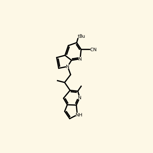 Cc1nc2[nH]ccc2cc1C(C)Cn1ccc2cc(C(C)(C)C)c(C#N)nc21